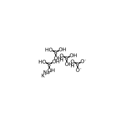 OB(O)O.OB(O)O.OB(O)O.[K+].[Na+].[O-]B([O-])O